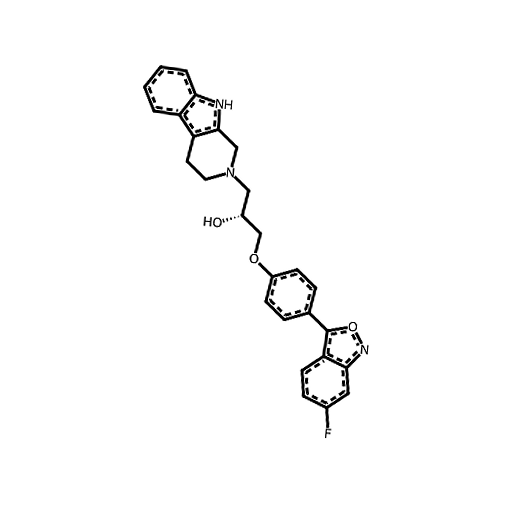 O[C@@H](COc1ccc(-c2onc3cc(F)ccc23)cc1)CN1CCc2c([nH]c3ccccc23)C1